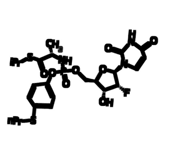 CCCSc1ccc(OP(=O)(N[C@@H](C)C(=O)SC(C)C)OC[C@H]2O[C@@H](n3ccc(=O)[nH]c3=O)[C@H](F)[C@@H]2O)cc1